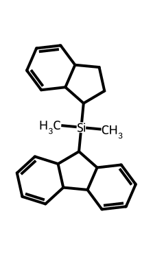 C[Si](C)(C1CCC2C=CC=CC21)C1C2C=CC=CC2C2C=CC=CC21